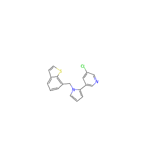 Clc1cncc(-c2cccn2Cc2cccc3ccsc23)c1